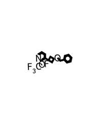 FC(F)(F)Oc1ncccc1C1(F)CC(OCc2ccccc2)C1